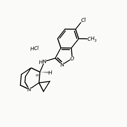 Cc1c(Cl)ccc2c(N[C@@H]3C4CCN(CC4)C34CC4)noc12.Cl